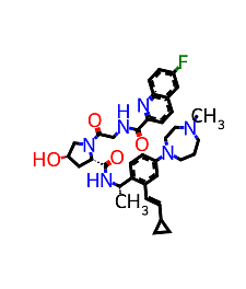 C[C@H](NC(=O)[C@@H]1C[C@@H](O)CN1C(=O)CNC(=O)c1ccc2cc(F)ccc2n1)c1ccc(N2CCCN(C)CC2)cc1/C=C/C1CC1